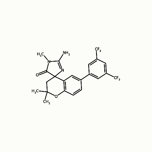 CN1C(=O)C2(CC(C)(C)Oc3ccc(-c4cc(C(F)(F)F)cc(C(F)(F)F)c4)cc32)N=C1N